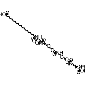 O=C(O)CCCCCCCCCCCCCCCCCCC(=O)N[C@@H](CCC(=O)NCCOCCOCC(=O)NCCOCCOCC(=O)NCCCC[C@H](NP)C(=O)O)C(=O)O